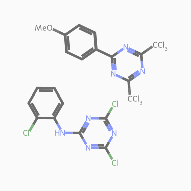 COc1ccc(-c2nc(C(Cl)(Cl)Cl)nc(C(Cl)(Cl)Cl)n2)cc1.Clc1nc(Cl)nc(Nc2ccccc2Cl)n1